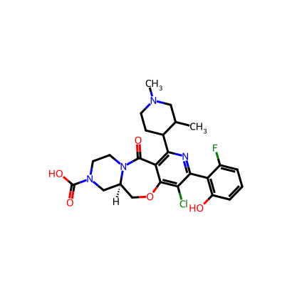 CC1CN(C)CCC1c1nc(-c2c(O)cccc2F)c(Cl)c2c1C(=O)N1CCN(C(=O)O)C[C@@H]1CO2